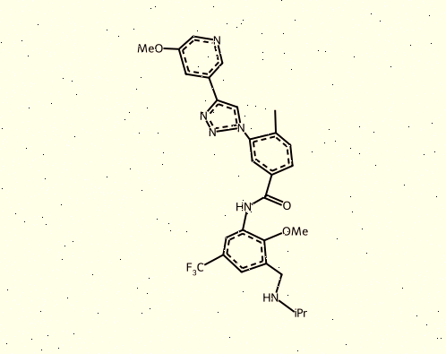 COc1cncc(-c2cn(-c3cc(C(=O)Nc4cc(C(F)(F)F)cc(CNC(C)C)c4OC)ccc3C)nn2)c1